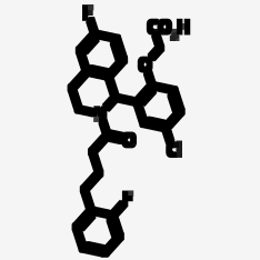 O=C(O)COc1ccc(Cl)cc1C1c2ccc(F)cc2CCN1C(=O)CCCc1ccccc1F